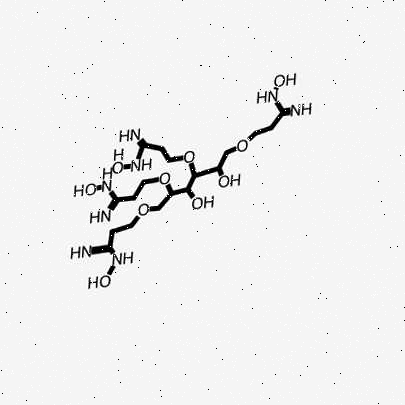 N=C(CCOCC(O)C(OCCC(=N)NO)C(O)C(COCCC(=N)NO)OCCC(=N)NO)NO